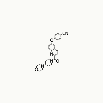 N#Cc1ccc(Oc2ccc3nc(C(=O)N4CCC(N5CCOCC5)CC4)ccc3c2)cc1